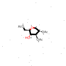 CC(=O)OC[C@H]1OC[C@H](OC(C)=O)[C@@H](OC(C)=O)[C@@H]1O